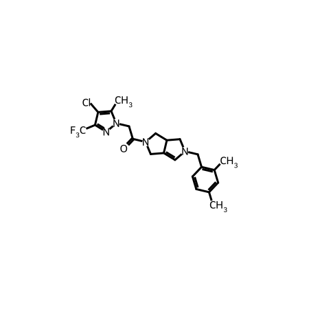 Cc1ccc(CN2C=C3CN(C(=O)Cn4nc(C(F)(F)F)c(Cl)c4C)CC3C2)c(C)c1